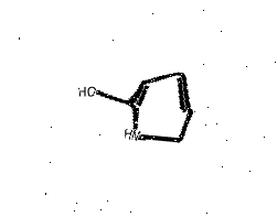 OC1=CC=[C]CN1